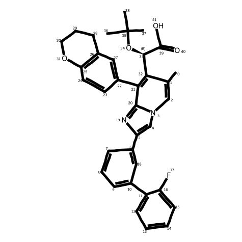 Cc1cn2cc(-c3cccc(-c4ccccc4F)c3)nc2c(-c2ccc3c(c2)CCCO3)c1[C@@H](OC(C)(C)C)C(=O)O